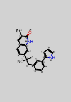 CCc1cc2ccc(C(C)(C#N)Cc3cccc(-c4ccc[nH]4)c3)cc2[nH]c1=O